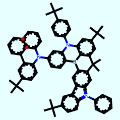 CC(C)(C)c1ccc(N2c3cc(N(c4ccccc4)c4ccc(C(C)(C)C)cc4-c4ccccc4)ccc3B3c4cc5c6cc(C(C)(C)C)ccc6n(-c6ccccc6)c5cc4C(C)(C)c4cc(C(C)(C)C)cc2c43)cc1